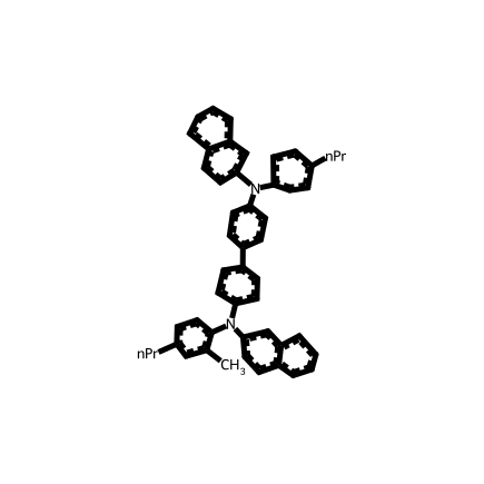 CCCc1ccc(N(c2ccc(-c3ccc(N(c4ccc5ccccc5c4)c4ccc(CCC)cc4C)cc3)cc2)c2ccc3ccccc3c2)cc1